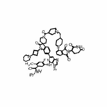 Cc1cc(F)c(Nc2nc(-c3ccc4c(c3)N(C3CC(N5CCCCC5)C3)C(=O)C43CCN(C(=O)C4CCN(CC5CCN(c6cccc7c6C(=O)N(C6CCC(=O)NC6=O)C7=O)CC5)C4)CC3)cc3ncn(C(C)C)c23)cc1C(=O)NC(C)C